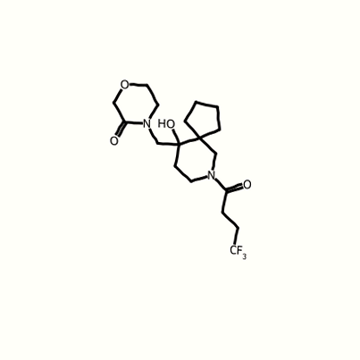 O=C1COCCN1CC1(O)CCN(C(=O)CCC(F)(F)F)CC12CCCC2